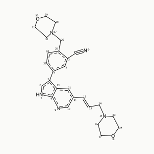 N#Cc1cc(-c2c[nH]c3ncc(/C=C/CN4CCOCC4)cc23)ccc1CN1CCOCC1